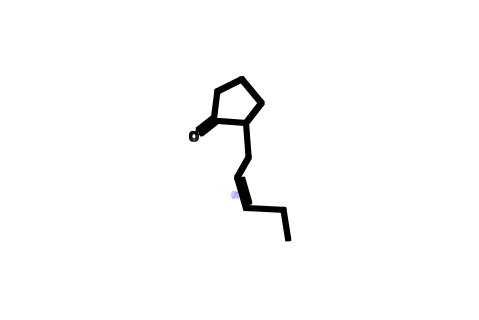 CC/C=C\CC1CCCC1=O